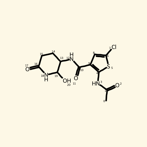 CC(=O)Nc1sc(Cl)cc1C(=O)NC1CCC(=O)NC1O